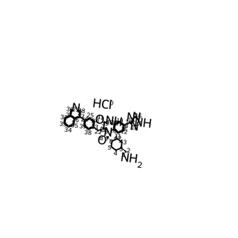 Cl.NC[C@H]1CC[C@H](C(=O)N(c2ccc(-c3nn[nH]n3)cc2)[C@@H](Cc2ccc(-c3cncc4ccccc34)cc2)C(N)=O)CC1